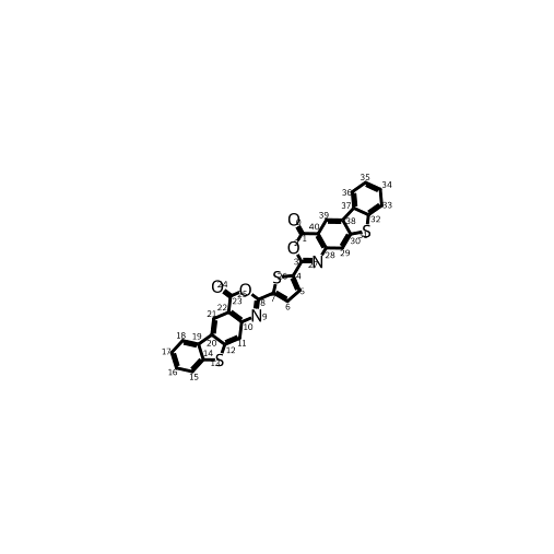 O=c1oc(-c2ccc(-c3nc4cc5sc6ccccc6c5cc4c(=O)o3)s2)nc2cc3sc4ccccc4c3cc12